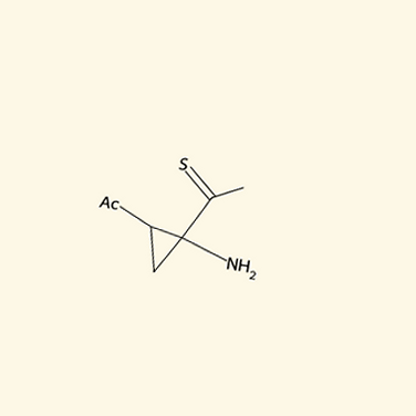 CC(=O)C1CC1(N)C(C)=S